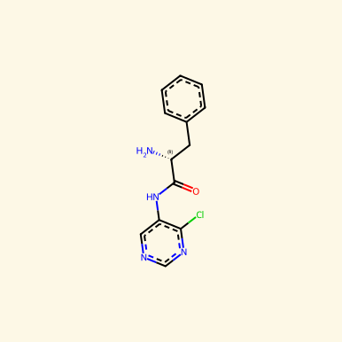 N[C@H](Cc1ccccc1)C(=O)Nc1cncnc1Cl